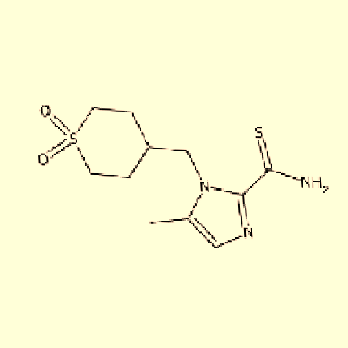 Cc1cnc(C(N)=S)n1CC1CCS(=O)(=O)CC1